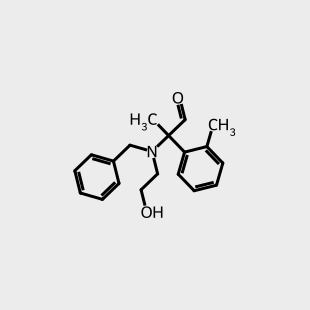 Cc1ccccc1C(C)(C=O)N(CCO)Cc1ccccc1